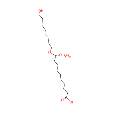 O.O=C(O)CCCCCCCCC(=O)OCCCCCCCCO